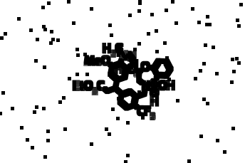 CCOC(=O)CC(c1ccc(C(F)(F)F)c(CN2C[C@@H](C)Oc3ccccc3S2(O)O)c1)c1cc(OC)c2c(c1)nnn2C